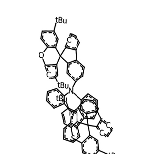 CC(C)(C)C1=CC2C(C=C1)Sc1ccc(C(C)(C)C)cc1C21c2ccccc2-c2ccc(N(c3ccc4c(c3)C3(c5cc(C(C)(C)C)ccc5Oc5ccc(C(C)(C)C)cc53)c3ccccc3-4)c3ccccc3-n3c4ccccc4c4ccccc43)cc21